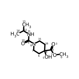 COC(=O)C1(O)CCN(C(=O)NC(C)C)CC1